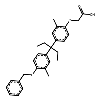 CCC(CC)(c1ccc(OCC(=O)O)c(C)c1)c1ccc(OCc2ccccc2)c(C)c1